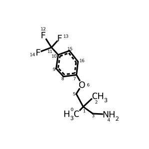 CC(C)(CN)COc1ccc(C(F)(F)F)cc1